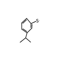 CC(C)c1cccc([S])c1